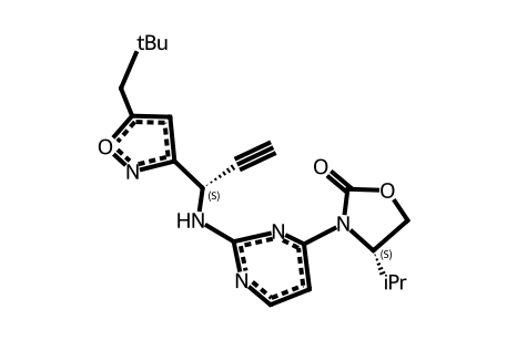 C#C[C@H](Nc1nccc(N2C(=O)OC[C@@H]2C(C)C)n1)c1cc(CC(C)(C)C)on1